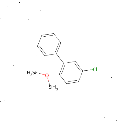 Clc1cccc(-c2ccccc2)c1.[SiH3]O[SiH3]